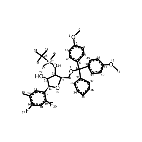 COc1ccc(C(OC[C@H]2O[C@@H](c3cc(C)c(F)cc3F)[C@@H](O)C2O[Si](C)(C)C(C)(C)C)(c2ccccc2)c2ccc(OC)cc2)cc1